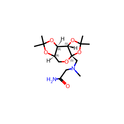 CN(CC(N)=O)C[C@@]12OC[C@H]3OC(C)(C)O[C@H]3[C@@H]1OC(C)(C)O2